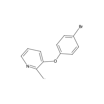 [CH2]c1ncccc1Oc1ccc(Br)cc1